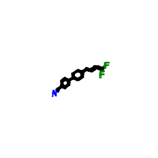 N#Cc1ccc(C2CCC(C/C=C/C(F)F)CC2)cc1